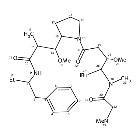 CCC(Cc1ccccc1)NC(=O)C(C)C(OC)C1CCCN1C(=O)CC(OC)C(C(C)CC)N(C)C(=O)CNC